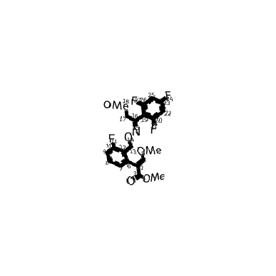 CO/C=C(/C(=O)OC)c1cccc(F)c1CO/N=C(\COC)c1c(F)cc(F)cc1F